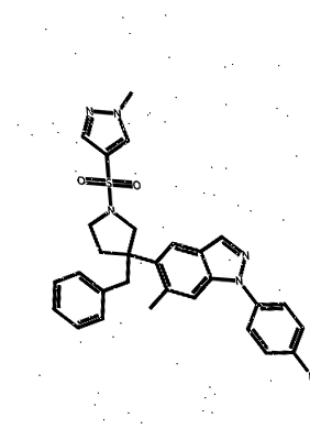 Cc1cc2c(cnn2-c2ccc(F)cc2)cc1C1(Cc2ccccc2)CCN(S(=O)(=O)c2cnn(C)c2)C1